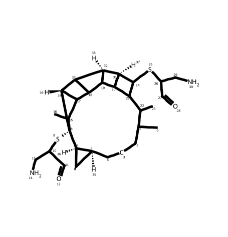 CC1CCC[C@H]2C[C@H]2[C@]2(SC(C=O)CN)C(C)C3C4C5C6C(C1C)C(SC(C=O)CN)[C@@H]6[C@@H]5C4[C@H]32